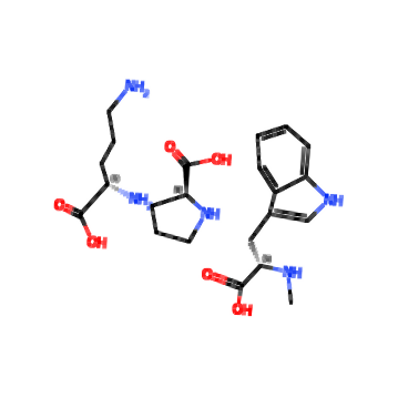 CN[C@@H](Cc1c[nH]c2ccccc12)C(=O)O.NCCC[C@H](N)C(=O)O.O=C(O)[C@@H]1CCCN1